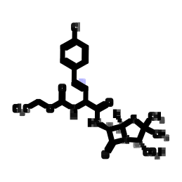 CC1(C)S[C@@H]2[C@H](NC(=O)C(/C=C/c3ccc(Cl)cc3)NC(=O)OCC(Cl)(Cl)Cl)C(=O)N2[C@H]1C(=O)O